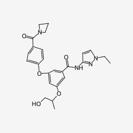 CCn1ccc(NC(=O)c2cc(Oc3ccc(C(=O)N4CCC4)cc3)cc(OC(C)CO)c2)n1